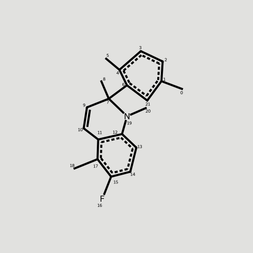 Cc1ccc(C)c(C2(C)C=Cc3c(ccc(F)c3C)N2C)c1